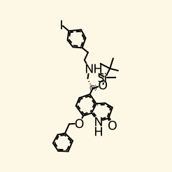 CC(C)(C)[Si](C)(C)O[C@@H](CNCCc1ccc(I)cc1)c1ccc(OCc2ccccc2)c2[nH]c(=O)ccc12